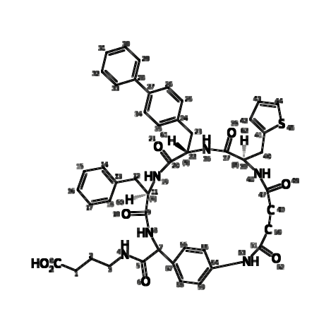 O=C(O)CCCNC(=O)C1NC(=O)[C@@H](Cc2ccccc2)NC(=O)[C@H](Cc2ccc(-c3ccccc3)cc2)NC(=O)[C@@H](Cc2cccs2)NC(=O)CCC(=O)Nc2ccc1cc2